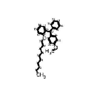 CCCCCCCCCCOc1ccccc1[C](c1ccccc1)c1ccc(OC)cc1